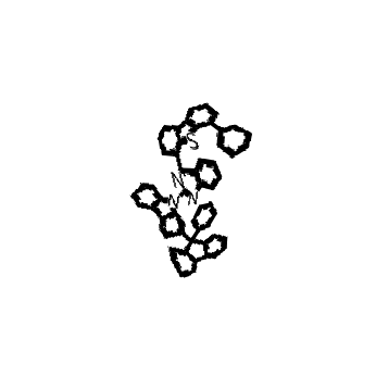 c1ccc(-c2cccc3c2sc2c(-c4nc(-n5c6ccccc6c6ccc(C7(c8ccccc8)c8ccccc8-c8ccccc87)cc65)nc5ccccc45)cccc23)cc1